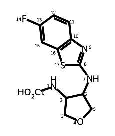 O=C(O)NC1COCC1Nc1nc2ccc(F)cc2s1